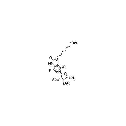 CCCCCCCCCCCCCCCCOC(=O)Nc1nc(=O)n(C2OC(C)C(OC(C)=O)C2OC(C)=O)cc1F